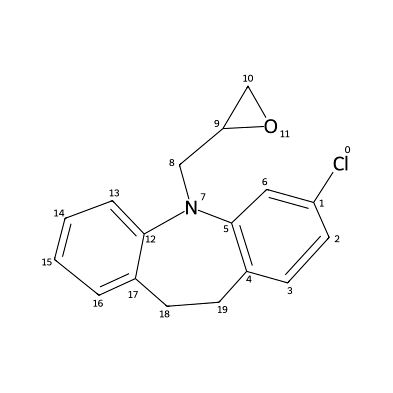 Clc1ccc2c(c1)N(CC1CO1)c1ccccc1CC2